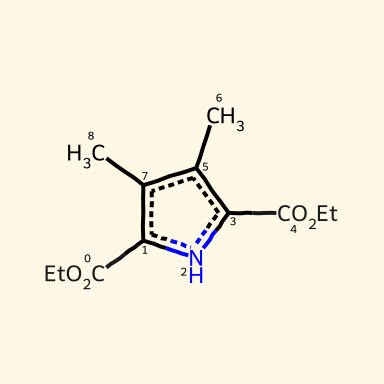 CCOC(=O)c1[nH]c(C(=O)OCC)c(C)c1C